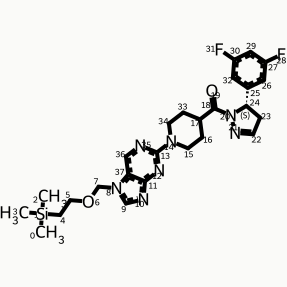 C[Si](C)(C)CCOCn1cnc2nc(N3CCC(C(=O)N4N=CC[C@H]4c4cc(F)cc(F)c4)CC3)ncc21